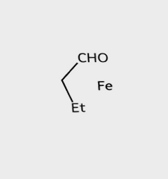 CCCC=O.[Fe]